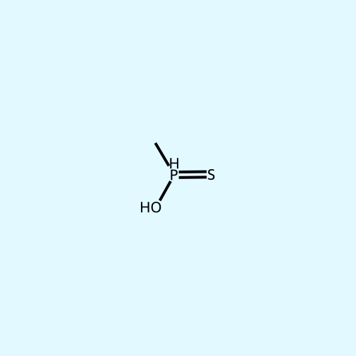 C[PH](O)=S